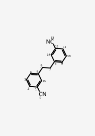 N#Cc1cccc([CH]Cc2cccc(C#N)c2)c1